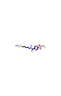 CS(=O)(=O)c1cnc(C(=O)NCCCCCC(=O)O)cn1